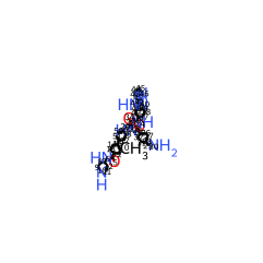 Cc1cc(C(=O)NC2CCNCC2)ccc1-c1ccc(C[C@H](NC(=O)C2CCC(CN)CC2)C(=O)Nc2ccc3nc(-n4cccn4)[nH]c3c2)cc1